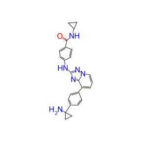 NC1(c2ccc(-c3cccn4nc(Nc5ccc(C(=O)NC6CC6)cc5)nc34)cc2)CC1